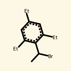 CCc1cc(CC)c(C(C)Br)c(CC)c1